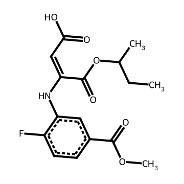 CCC(C)OC(=O)C(=CC(=O)O)Nc1cc(C(=O)OC)ccc1F